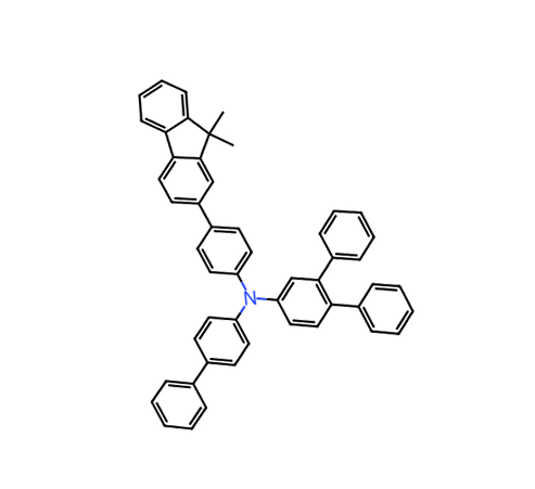 CC1(C)c2ccccc2-c2ccc(-c3ccc(N(c4ccc(-c5ccccc5)cc4)c4ccc(-c5ccccc5)c(-c5ccccc5)c4)cc3)cc21